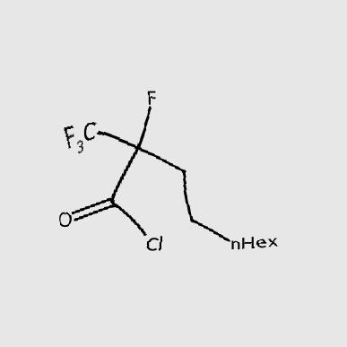 CCCCCCCCC(F)(C(=O)Cl)C(F)(F)F